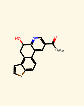 COC(=O)c1cnc2c(c1)-c1ccc3sccc3c1CC2O